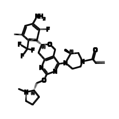 C=CC(=O)N1CCN(c2nc(OC[C@@H]3CCCN3C)nc3c2CO[C@@H](c2c(F)c(N)cc(C)c2C(F)(F)F)C3)[C@@H](C)C1